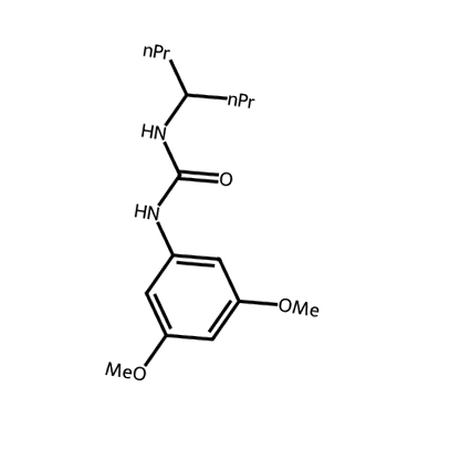 CCCC(CCC)NC(=O)Nc1cc(OC)cc(OC)c1